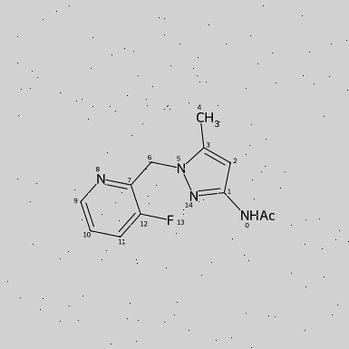 CC(=O)Nc1cc(C)n(Cc2ncccc2F)n1